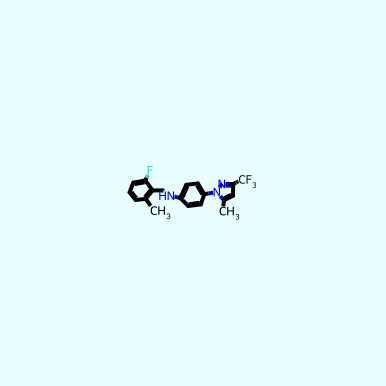 Cc1cccc(F)c1CNc1ccc(-n2nc(C(F)(F)F)cc2C)cc1